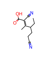 CCC(CCC#N)C(C)=C(C#N)C(=O)O